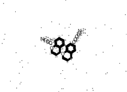 C1=COc2ccccc2C1.C1=COc2ccccc2C1.[Fe+3].[Fe+3].[Ni+2].[Ni+2].[O-2].[O-2].[O-2].[O-2].[O-2]